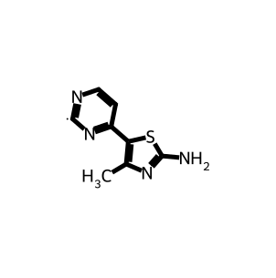 Cc1nc(N)sc1-c1ccn[c]n1